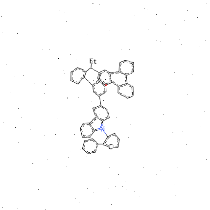 CCC(c1ccc2c3ccccc3c3ccccc3c2c1)c1ccccc1-c1cc(-c2ccc3c(c2)c2ccccc2n3-c2ccccc2-c2ccccc2)ccc1C